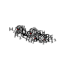 CC(C)CCC1(CCC(C)C)c2ccccc2-c2ccc(-c3ccc4c(c3)C(C)(C)c3cc(-c5ccc6c(c5)C(CCC(C)C)(CCC(C)C)c5cc(-c7ccc8c(c7)C(CCC(C)C)(CCC(C)C)c7cc(-c9ccc%10c(c9)C(C)(C)c9cc(-c%11ccc%12c(c%11)C(CCC(C)C)(CCC(C)C)c%11cc(Br)ccc%11-%12)ccc9-%10)ccc7-8)ccc5-6)ccc3-4)cc21